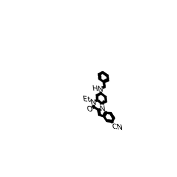 CCN(C(=O)c1cc2cc(C#N)ccc2[nH]1)C1CCCC(NCc2ccccc2)C1